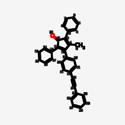 CC1=C(c2ccccc2)C(=O)C(c2ccccc2)=C1c1ccc(C#Cc2ccccc2)cc1